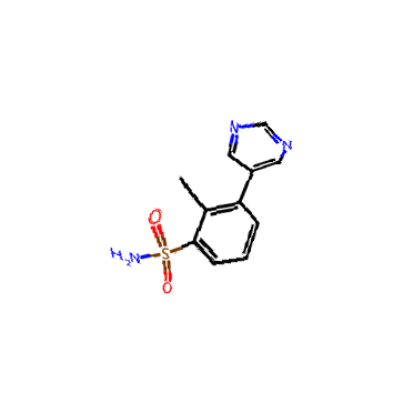 Cc1c(-c2cncnc2)cccc1S(N)(=O)=O